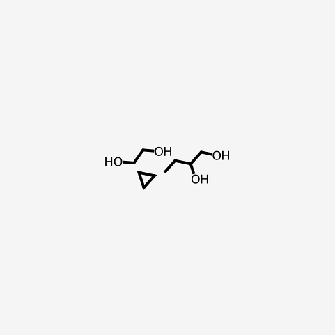 C1CC1.CCC(O)CO.OCCO